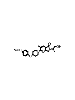 COc1ccc(OC2CCN(c3nc4c(cc3C)C(=O)N([C@H](C)CO)C4)CC2)cn1